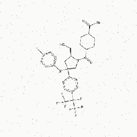 O=C(O)[C@H]1CC[C@H](C(=O)N2CC(Sc3ccc(F)cc3)(c3ccc(C(F)(C(F)(F)F)C(F)(F)F)cc3)C[C@H]2CO)CC1